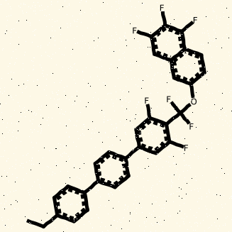 CCc1ccc(-c2ccc(-c3cc(F)c(C(F)(F)Oc4ccc5c(F)c(F)c(F)cc5c4)c(F)c3)cc2)cc1